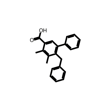 Cc1c(C(=O)O)cc(-c2ccccc2)c(Cc2ccccc2)c1C